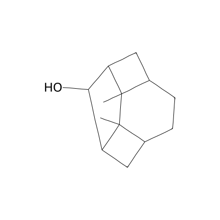 CC12C3CCC4CC(C(O)C1C3)C42C